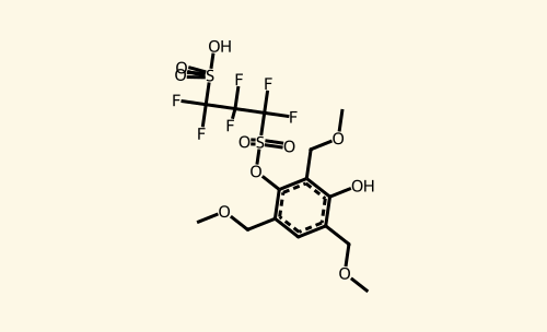 COCc1cc(COC)c(OS(=O)(=O)C(F)(F)C(F)(F)C(F)(F)S(=O)(=O)O)c(COC)c1O